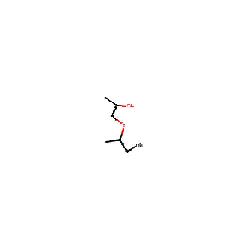 CCCCCC(C)OCC(C)O